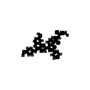 COc1ccc(CN(Cc2ccc(OC)cc2)c2ncc(-c3nc(N4CCOCC4)nc4c3CCN4C(=O)NCC(N)=O)cn2)cc1